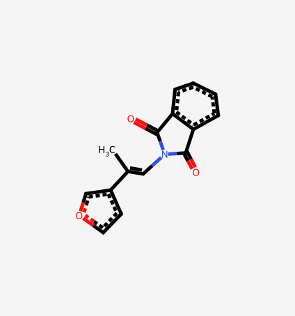 CC(=CN1C(=O)c2ccccc2C1=O)c1ccoc1